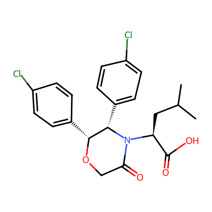 CC(C)C[C@@H](C(=O)O)N1C(=O)CO[C@H](c2ccc(Cl)cc2)[C@@H]1c1ccc(Cl)cc1